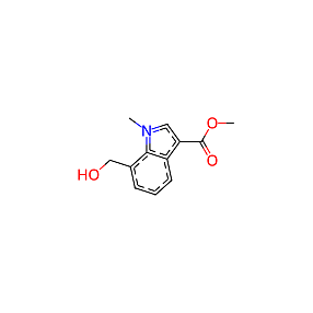 COC(=O)c1cn(C)c2c(CO)cccc12